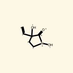 C=CC1(O)CCN(O)C1=O